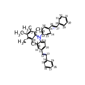 Cc1c(C)c(C)c(N(c2ccc(/C=C/c3ccccc3)cc2)c2ccc(/C=C/c3ccccc3)cc2)c(C)c1C